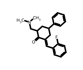 CN(C)CC1CC(c2ccccc2)C/C(=C\c2ccccc2F)C1=O